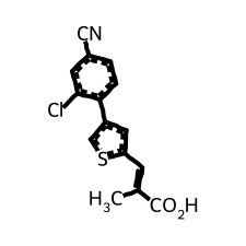 C/C(=C\c1cc(-c2ccc(C#N)cc2Cl)cs1)C(=O)O